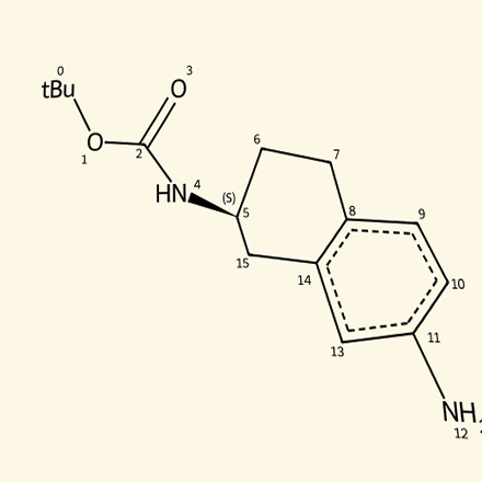 CC(C)(C)OC(=O)N[C@H]1CCc2ccc(N)cc2C1